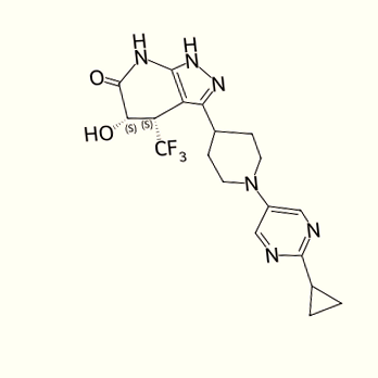 O=C1Nc2[nH]nc(C3CCN(c4cnc(C5CC5)nc4)CC3)c2[C@H](C(F)(F)F)[C@@H]1O